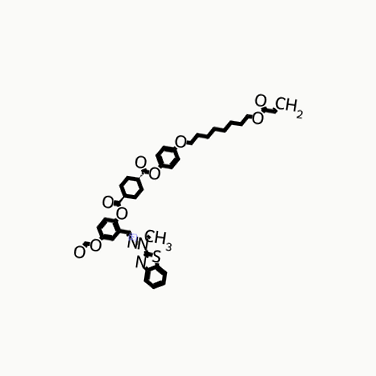 C=CC(=O)OCCCCCCCCOc1ccc(OC(=O)[C@H]2CC[C@H](C(=O)Oc3ccc(OC=O)cc3/C=N/N(C)c3nc4ccccc4s3)CC2)cc1